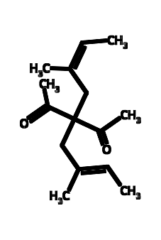 CC=C(C)CC(CC(C)=CC)(C(C)=O)C(C)=O